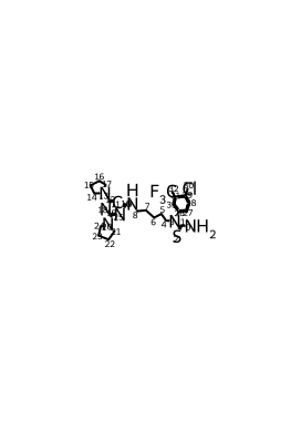 NC(=S)N(CCCCCNc1cc(N2CCCC2)nc(N2CCCC2)n1)c1ccc(Cl)c(C(F)(F)F)c1